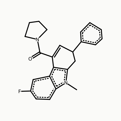 Cn1c2c(c3cc(F)ccc31)C(C(=O)N1CCCC1)=CC(c1ccccc1)C2